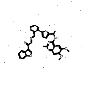 COc1cc2nc(C)nc(NC(C)c3ccc(-c4ccccc4CN=CC(=O)c4c[nH]c5ccccc45)s3)c2cc1OC